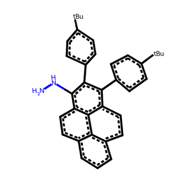 CC(C)(C)c1ccc(-c2c(NN)c3ccc4cccc5ccc(c2-c2ccc(C(C)(C)C)cc2)c3c45)cc1